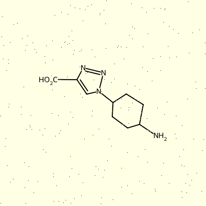 NC1CCC(n2cc(C(=O)O)nn2)CC1